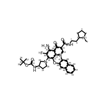 CN1CCCC1CCNC(=O)c1cn2c3c(c(N4CCC(NC(=O)OC(C)(C)C)C4)c(F)c(N)c3c1=O)Oc1cc3ccccc3cc1-2